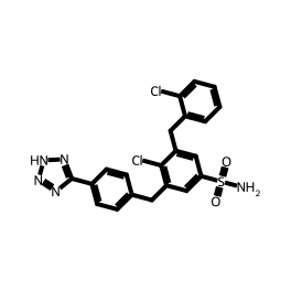 NS(=O)(=O)c1cc(Cc2ccc(-c3nn[nH]n3)cc2)c(Cl)c(Cc2ccccc2Cl)c1